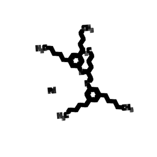 CCCCCc1cc(CCCCC)cc(N=CC(CCCC)=Nc2cc(CCCCC)cc(CCCCC)c2)c1.[Pd]